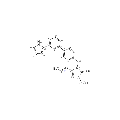 CC/C=C/c1nn(CCCCCCCC)c(=O)n1Cc1ccc(-c2cccc(-c3nnn[nH]3)c2)cc1